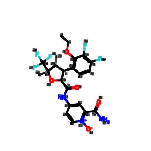 CCOc1c([C@H]2[C@@H](C(=O)Nc3cc[n+]([O-])c(C(N)=O)c3)O[C@@](C)(C(F)(F)F)[C@@H]2C)ccc(F)c1F